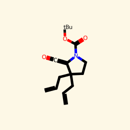 C=CCC1(CC=C)CCN(C(=O)OC(C)(C)C)C1=C=O